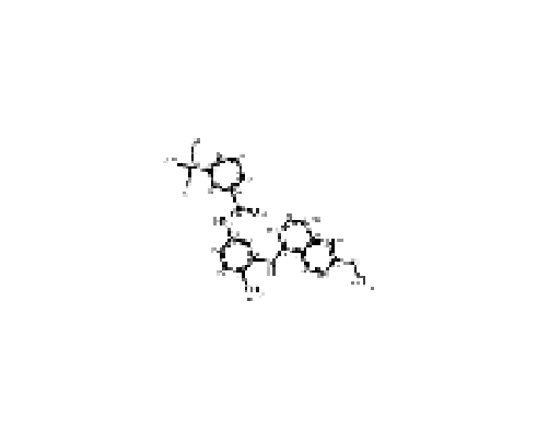 CSc1ncc2c(Nc3cc(NC(=O)c4cccc(C(F)(F)F)c4)ccc3C)ncnc2n1